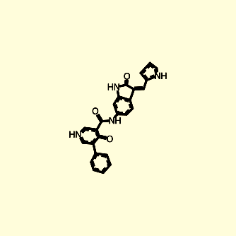 O=C1Nc2cc(NC(=O)c3c[nH]cc(-c4ccccc4)c3=O)ccc2C1=Cc1ccc[nH]1